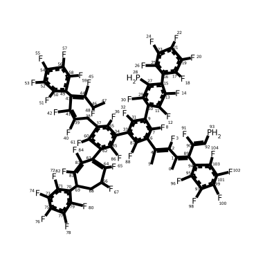 CC(/C(F)=C(\C)c1c(F)c(-c2c(F)c(F)c(-c3c(F)c(F)c(F)c(F)c3F)c(P)c2F)c(F)c(-c2c(F)c(C/C(F)=C(F)\C(=C(\F)C(C)F)c3c(F)c(F)c(F)c(F)c3F)c(F)c(C3=C(F)C(F)CC(c4c(F)c(F)c(F)c(F)c4F)C(F)=C3F)c2F)c1F)=C(/C(F)=C/P)c1c(F)c(F)c(F)c(F)c1F